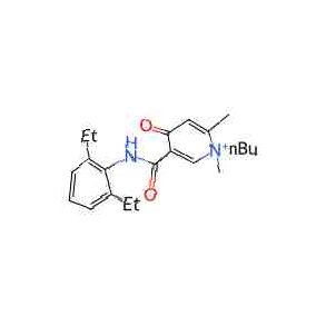 CCCC[N+]1(C)C=C(C(=O)Nc2c(CC)cccc2CC)C(=O)C=C1C